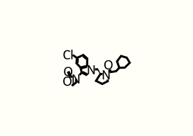 O=C1OCCN1c1cn(C[C@@H]2CCCN2C(=O)CC2CCCCC2)c2ccc(Cl)cc12